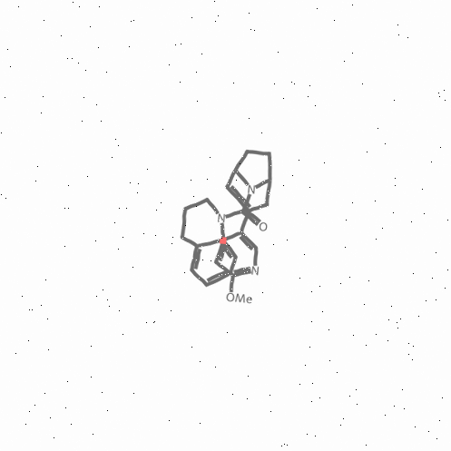 COc1ccc(C2=CC3CCC(C2)N3C(=O)N2CCCc3ccccc32)cn1